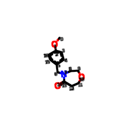 COc1ccc(CN2CCOCCC2=O)cc1